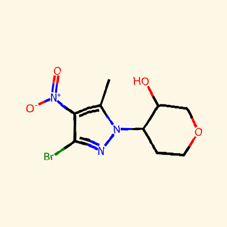 Cc1c([N+](=O)[O-])c(Br)nn1C1CCOCC1O